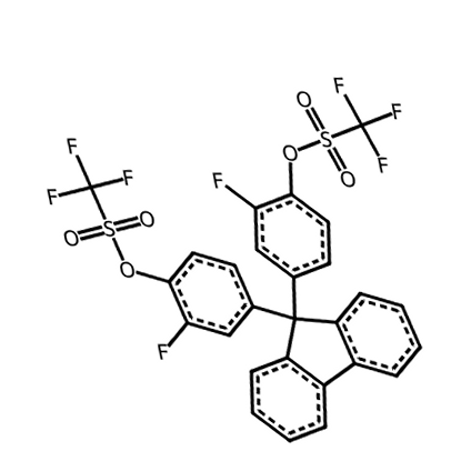 O=S(=O)(Oc1ccc(C2(c3ccc(OS(=O)(=O)C(F)(F)F)c(F)c3)c3ccccc3-c3ccccc32)cc1F)C(F)(F)F